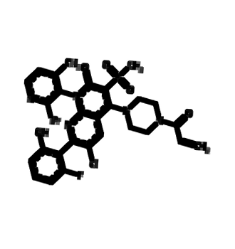 C=CC(=O)N1CCN(c2c(S(C)(=O)=O)c(=O)n(-c3c(C)ccnc3C(C)C)c3nc(-c4c(O)cccc4F)c(Cl)cc23)CC1